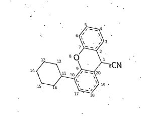 N#CC1c2ccccc2Oc2c(C3CCCCC3)cccc21